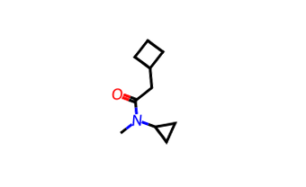 CN(C(=O)CC1CCC1)C1CC1